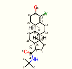 CC(C)(C)NC(=O)C1CC[C@H]2[C@@H]3CCC4=C(Br)C(=O)CC[C@]4(C)[C@@H]3CC[C@]12C